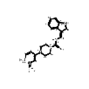 C=N/C=C(\C=C/C)N1CCN(C(=S)N/C=C2/CNc3ccccc32)CC1